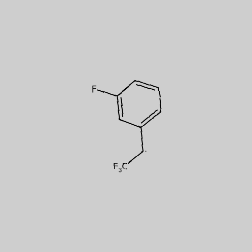 Fc1cccc([CH]C(F)(F)F)c1